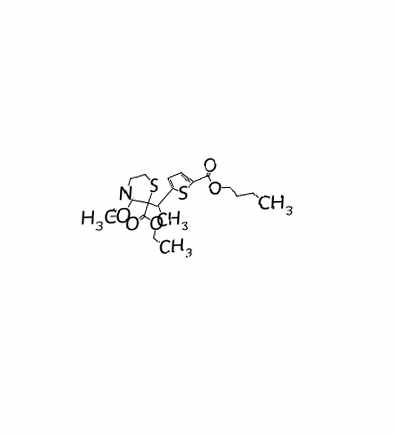 CCCCOC(=O)c1ccc(C(C)C2(C(=O)OCC)SCCN=C2OC)s1